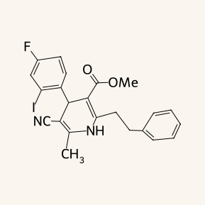 COC(=O)C1=C(CCc2ccccc2)NC(C)=C(C#N)C1c1ccc(F)cc1I